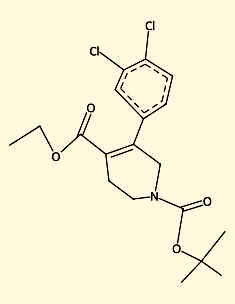 CCOC(=O)C1=C(c2ccc(Cl)c(Cl)c2)CN(C(=O)OC(C)(C)C)CC1